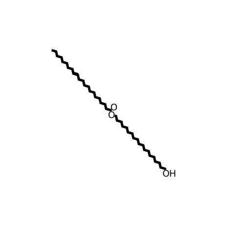 CCCCCCCCC=CCCCCCCCCCCCC(=O)OCCCCCCCCCCCCCCCCCCCO